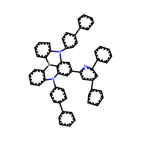 c1ccc(-c2ccc(N3c4ccccc4B4c5ccccc5N(c5ccc(-c6ccccc6)cc5)c5cc(-c6cc(-c7ccccc7)cc(-c7ccccc7)n6)cc3c54)cc2)cc1